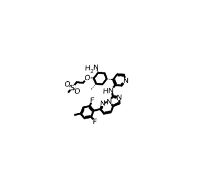 Cc1cc(F)c(-c2ccc3cnc(Nc4cnccc4[C@H]4C[C@@H](N)[C@@H](OCCS(C)(=O)=O)[C@@H](C)C4)n3n2)c(F)c1